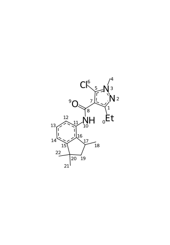 CCc1nn(C)c(Cl)c1C(=O)Nc1cccc2c1C(C)CC2(C)C